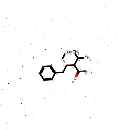 CC[C@@H](Cc1ccccc1)C(C(N)=O)C(C)C